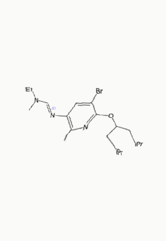 CCN(C)/C=N/c1cc(Br)c(OC(CC(C)C)CC(C)C)nc1C